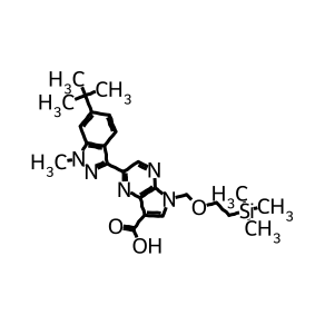 Cn1nc(-c2cnc3c(n2)c(C(=O)O)cn3COCC[Si](C)(C)C)c2ccc(C(C)(C)C)cc21